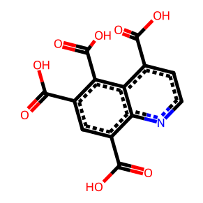 O=C(O)c1cc(C(=O)O)c2nccc(C(=O)O)c2c1C(=O)O